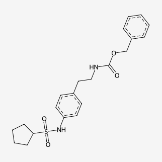 O=C(NCCc1ccc(NS(=O)(=O)C2CCCC2)cc1)OCc1ccccc1